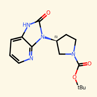 CC(C)(C)OC(=O)N1CC[C@H](n2c(=O)[nH]c3cccnc32)C1